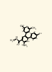 Cc1cc(-c2cc(C(=O)NN)c(N)nc2-c2ccc(F)cc2)cc(Cl)n1